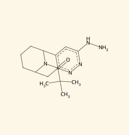 CC(C)(C)C(=O)N1C2CCCC1c1cc(NN)nnc1C2